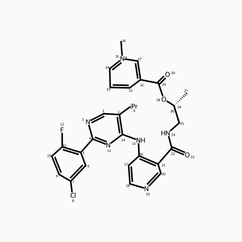 CC(C)c1cnc(-c2cc(Cl)ccc2F)nc1Nc1ccncc1C(=O)NC[C@@H](C)OC(=O)c1ccc[n+](C)c1